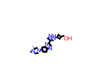 C[C@@H]1CN(c2ccc3ncc(/C(C=N)=C/NC4CC(CO)C4)nc3c2)CCN1C